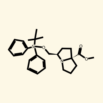 COC(=O)[C@]12CCCN1[C@@H](CO[Si](c1ccccc1)(c1ccccc1)C(C)(C)C)CC2